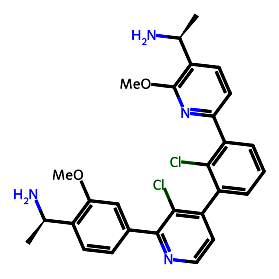 COc1cc(-c2nccc(-c3cccc(-c4ccc([C@H](C)N)c(OC)n4)c3Cl)c2Cl)ccc1[C@@H](C)N